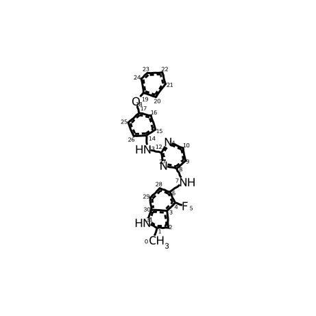 Cc1cc2c(F)c(Nc3ccnc(Nc4ccc(Oc5ccccc5)cc4)n3)ccc2[nH]1